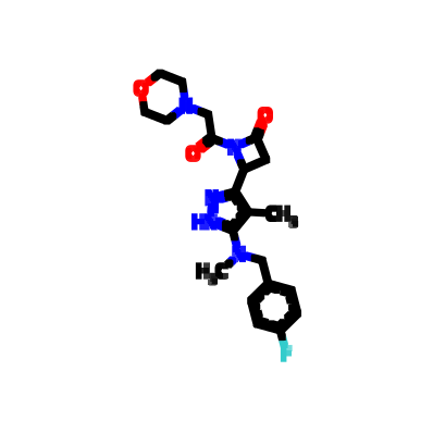 Cc1c(C2CC(=O)N2C(=O)CN2CCOCC2)n[nH]c1N(C)Cc1ccc(F)cc1